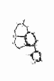 c1cc(-c2ccc3c4c2CCN4CCNC3)cs1